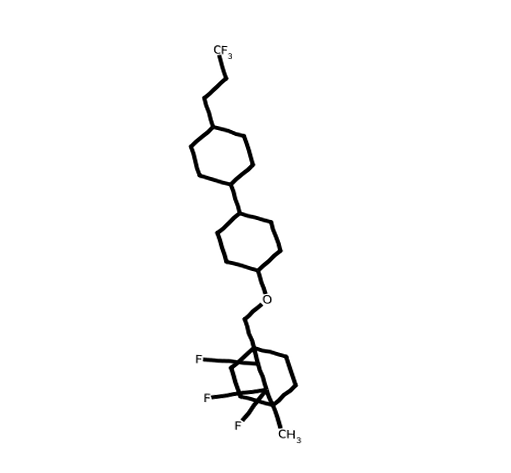 CC12CCC(COC3CCC(C4CCC(CCC(F)(F)F)CC4)CC3)(CC1)C(F)C2(F)F